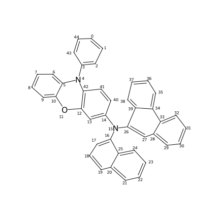 c1ccc(N2c3ccccc3Oc3cc(N(c4cccc5ccccc45)c4cc5ccccc5c5ccccc45)ccc32)cc1